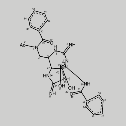 CC(=O)N(CC1NC(=N)N2CC(NC(=O)c3ccccc3)C(O)(O)[C@@]23NC(=N)NC13)C(=O)c1ccccc1